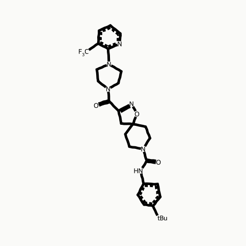 CC(C)(C)c1ccc(NC(=O)N2CCC3(CC2)CC(C(=O)N2CCN(c4ncccc4C(F)(F)F)CC2)=NO3)cc1